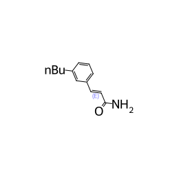 CCCCc1cccc(/C=C/C(N)=O)c1